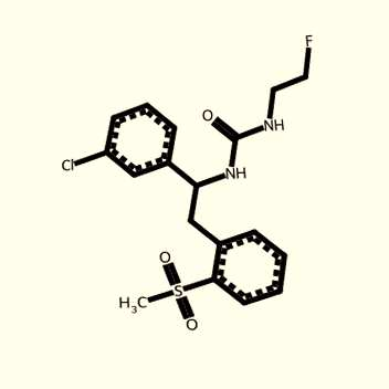 CS(=O)(=O)c1ccccc1CC(NC(=O)NCCF)c1cccc(Cl)c1